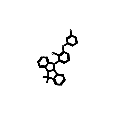 CC1(C)c2ccccc2C2C1c1ccccc1N2c1cccc(Oc2cccc(Br)c2)c1Cl